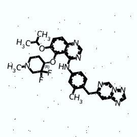 Cc1cc(Nc2ncnc3ccc(OC(C)C)c(O[C@@H]4CCN(C)CC4(F)F)c23)ccc1Cc1cc2ncnn2cn1